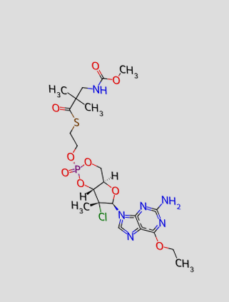 CCOc1nc(N)nc2c1ncn2[C@@H]1O[C@@H]2CO[P@@](=O)(OCCSC(=O)C(C)(C)CNC(=O)OC)O[C@H]2[C@@]1(C)Cl